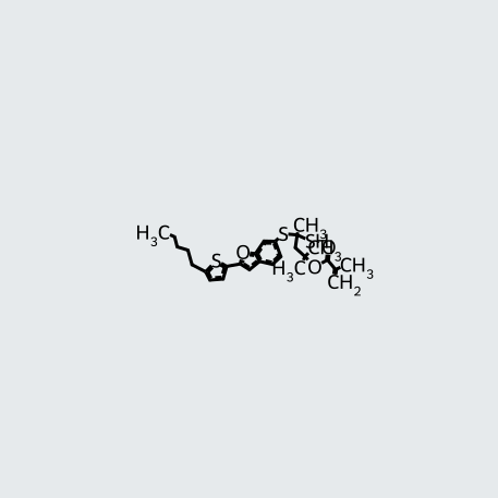 C=C(C)C(=O)OC(C)(C)CC(C)(S)Sc1ccc2cc(-c3ccc(CCCCC)s3)oc2c1